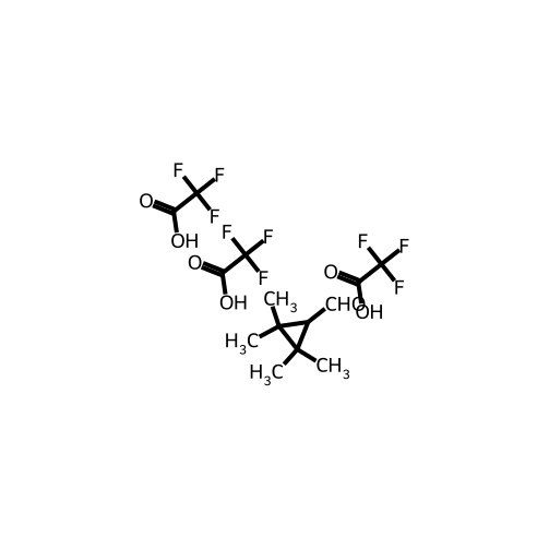 CC1(C)C(C=O)C1(C)C.O=C(O)C(F)(F)F.O=C(O)C(F)(F)F.O=C(O)C(F)(F)F